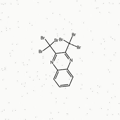 BrC(Br)(Br)c1nc2ccccc2nc1C(Br)(Br)Br